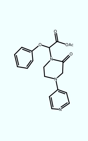 CC(=O)OC(=O)C(Oc1ccccc1)N1CCN(c2ccncc2)CC1=O